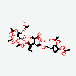 C/C=C1/[C@@H](O[C@H]2O[C@@H](COC(C)=O)[C@H](OC(C)=O)[C@@H](OC(C)=O)[C@@H]2OC(C)=O)OC=C(C(=O)O)[C@H]1CC(=O)OCCc1ccc(OC(C)=O)c(OC(C)=O)c1